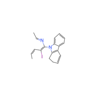 C\C=C/C(I)=C(\N=C\C)n1c2c(c3ccccc31)C=CCC2